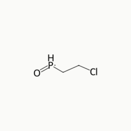 O=[PH]CCCl